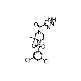 CC1(C)CN(C(=O)c2c[nH]nn2)CCN1S(=O)(=O)c1cc(Cl)cc(Cl)c1